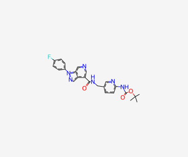 CC(C)(C)OC(=O)Nc1ccc(CNC(=O)c2cncc3c2cnn3-c2ccc(F)cc2)cn1